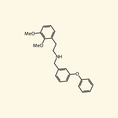 COc1cccc(CCNCc2cccc(Oc3ccccc3)c2)c1OC